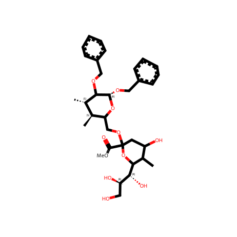 COC(=O)C1(OCC2O[C@@H](OCc3ccccc3)C(OCc3ccccc3)[C@@H](C)[C@@H]2C)CC(O)C(C)C([C@H](O)[C@H](O)CO)O1